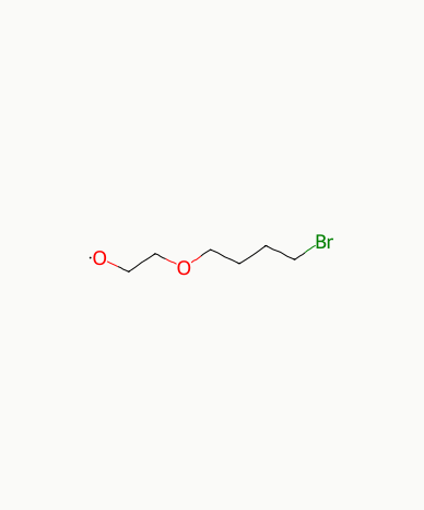 [O]CCOCCCCBr